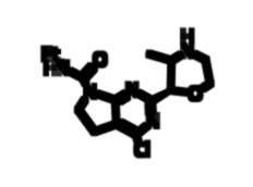 CCNC(=O)N1CCc2c(Cl)nc([C@@H]3OCCNC3C)nc21